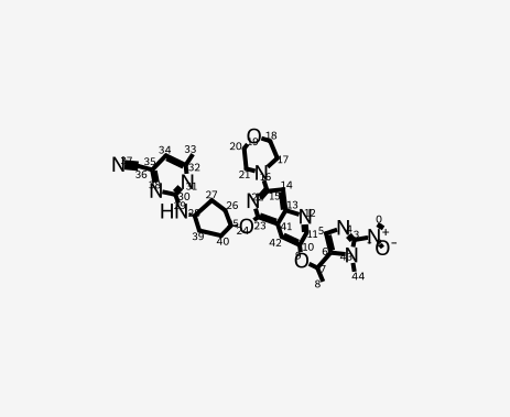 C=[N+]([O-])c1ncc(C(C)Oc2cnc3cc(N4CCOCC4)nc(O[C@H]4CC[C@@H](Nc5nc(C)cc(C#N)n5)CC4)c3c2)n1C